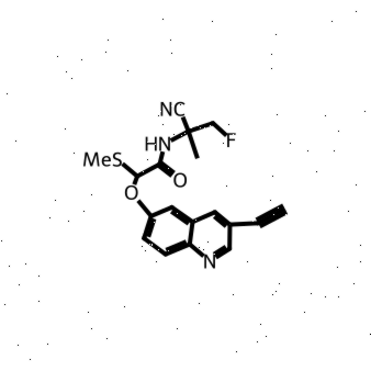 C#Cc1cnc2ccc(OC(SC)C(=O)NC(C)(C#N)CF)cc2c1